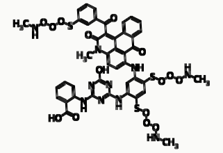 CNOOOSc1cccc(C(=O)c2c3c4c(c(Nc5cc(Nc6nc(O)nc(Nc7ccccc7C(=O)O)n6)c(SOOONC)cc5SOOONC)ccc4n(C)c2=O)C(=O)c2ccccc2-3)c1